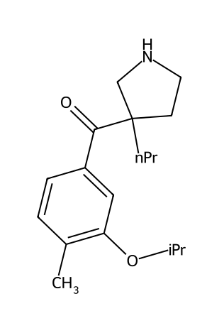 CCCC1(C(=O)c2ccc(C)c(OC(C)C)c2)CCNC1